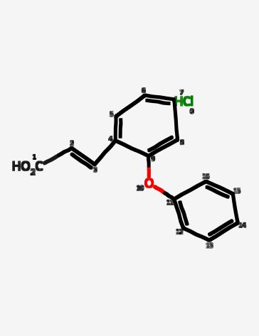 Cl.O=C(O)C=Cc1ccccc1Oc1ccccc1